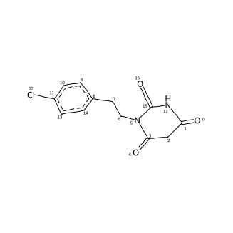 O=C1CC(=O)N(CCc2ccc(Cl)cc2)C(=O)N1